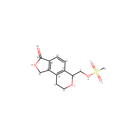 CS(=O)(=O)OCC1OCCc2c1ccc1c2COC1=O